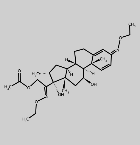 CCO/N=C1/C=C[C@@]2(C)C(=C1)CC[C@@H]1[C@@H]2[C@@H](O)C[C@@]2(C)[C@H]1C[C@@H](C)[C@]2(O)/C(COC(C)=O)=N/OCC